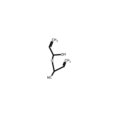 C=CC(O)OC(C#N)C=C